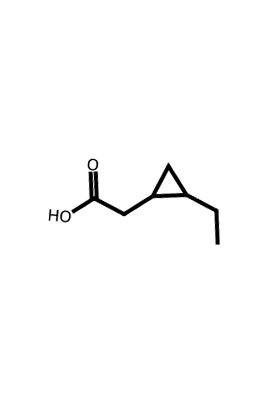 CCC1CC1CC(=O)O